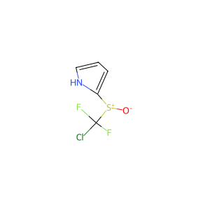 [O-][S+](c1ccc[nH]1)C(F)(F)Cl